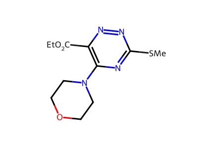 CCOC(=O)c1nnc(SC)nc1N1CCOCC1